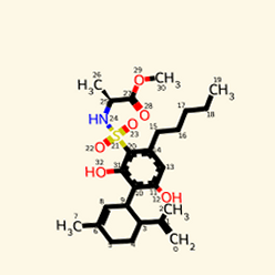 C=C(C)C1CCC(C)=CC1c1c(O)cc(CCCCC)c(S(=O)(=O)N[C@@H](C)C(=O)OC)c1O